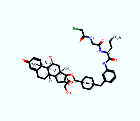 C[C@]12C=CC(=O)C=C1CC[C@@H]1[C@@H]2[C@@H](O)C[C@@]2(C)[C@H]1CC1O[C@@H](C34CCC(Cc5cccc(NC(=O)[C@H](CCC(=O)O)NC(=O)CNC(=O)CBr)c5)(CC3)CC4)O[C@]12C(=O)CO